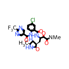 CNC(=O)C(=O)C(C[C@@H]1C[C@@H](C)NC1=O)NC(=O)c1cc(Cl)ccc1NC(=O)c1cnc(C(F)(F)F)nc1